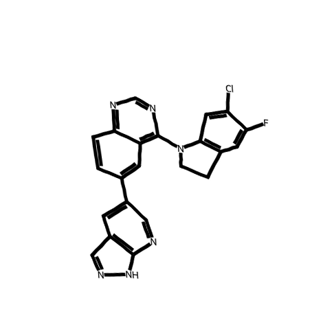 Fc1cc2c(cc1Cl)N(c1ncnc3ccc(-c4cnc5[nH]ncc5c4)cc13)CC2